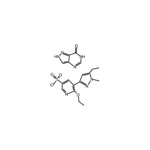 CCOc1ncc(S(=O)(=O)Cl)cc1-c1cc(CC)n(C)n1.O=c1[nH]cnc2c[nH]nc12